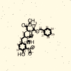 COC(=O)[C@H](CC(Cc1ccc(O)c([N+](=O)[O-])c1)[PH](=O)O)NC(=O)OCc1ccccc1